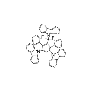 CC(C)(c1c(-c2ccccc2F)c(-n2c3ccccc3c3ccccc32)cc(-n2c3ccccc3c3ccccc32)c1-c1ccccc1F)n1c2ccccc2c2ccccc21